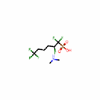 CNC.O=S(=O)(O)C(F)(F)C(F)CCCC(F)(F)F